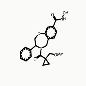 COCC1(C(=O)N2Cc3ccc(C(=O)NO)cc3OCC2c2ccccc2)CC1